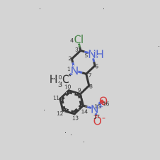 CN1CC(Cl)NCC1Cc1ccccc1[N+](=O)[O-]